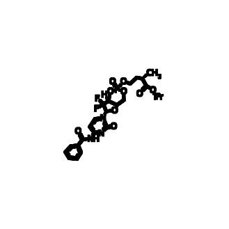 CC(C)OC(=O)[C@H](C)CCOP1(=O)OCC2O[C@@H](n3ccc(NC(=O)c4ccccc4)nc3=O)C(F)(F)[C@@H]2O1